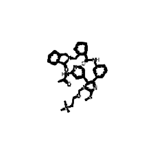 CSc1nc(-c2cccc(NC(=O)c3ccccc3CN3Cc4ccccc4C3=O)c2)c(-c2ccnc(NC(C)=O)c2)n1COCC[Si](C)(C)C